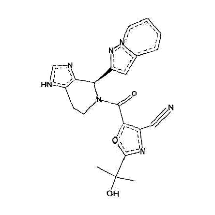 CC(C)(O)c1nc(C#N)c(C(=O)N2CCc3[nH]cnc3[C@H]2c2cc3ccccn3n2)o1